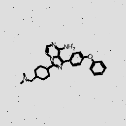 CN(C)CC1CCC(c2nc(-c3ccc(Oc4ccccc4)cc3)c3c(N)nccn23)CC1